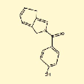 O=C(c1ccc(O)cc1)N1C=C2CC=CC=C2C1